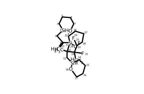 C=C(C[SiH]1CCCCO1)[Si]1(C(C)(C[SiH]2CCCCO2)C(C)(F)C(F)F)CCCCO1